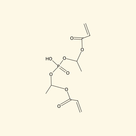 C=CC(=O)OC(C)OP(=O)(O)OC(C)OC(=O)C=C